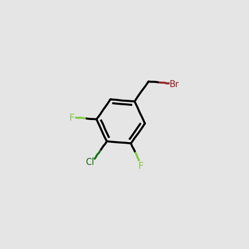 Fc1cc(CBr)cc(F)c1Cl